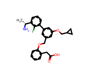 C[C@@H](N)c1cccc(-c2cc(COc3ccccc3CC(=O)O)cc(OCC3CC3)c2)c1F